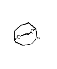 B1CCC2CCCC1CCC2